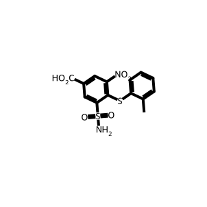 Cc1ccccc1Sc1c([N+](=O)[O-])cc(C(=O)O)cc1S(N)(=O)=O